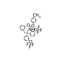 Cc1ccc(OC(=O)NCC(Cc2ccccc2)(c2cccc(OC(F)(F)F)c2)c2cccc(OC(F)(F)F)c2)cc1